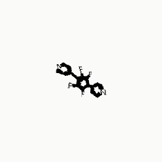 Fc1c(F)c(-c2ccncc2)c(F)c(F)c1-c1ccncc1